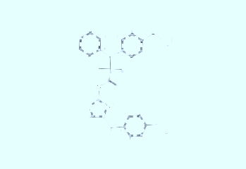 COc1ccc(Cc2csc(NC(=O)C(C)(C)C(c3ccccc3)c3ccc(CO)cc3)n2)cc1